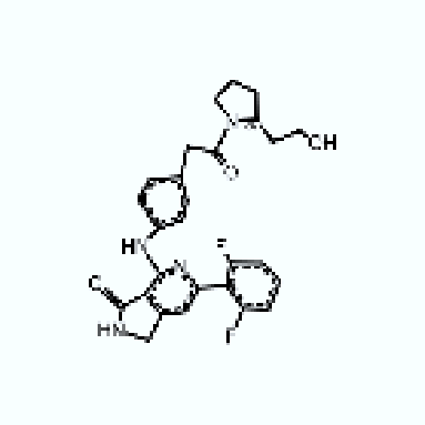 O=C1NCc2cc(-c3c(F)cccc3F)nc(Nc3ccc(CC(=O)N4CCC[C@H]4CCO)cc3)c21